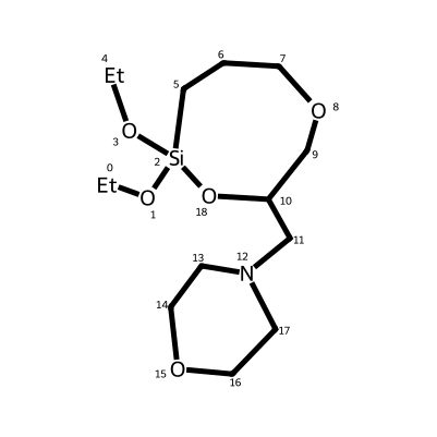 CCO[Si]1(OCC)CCCOCC(CN2CCOCC2)O1